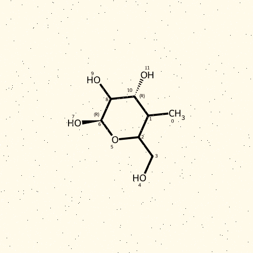 CC1C(CO)O[C@@H](O)C(O)[C@@H]1O